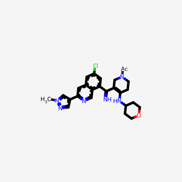 CC(=O)N1CCC(NC2CCOCC2)=C(C(=N)c2cc(Cl)cc3cc(-c4cnn(C)c4)ncc23)C1